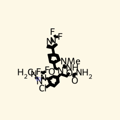 C=N/C=N\N(c1cc(C(COC(N)=O)N(C(=N)NC)C(=O)c2ccc(-c3cnn(C(F)F)c3)cc2)ccc1Cl)C(F)F